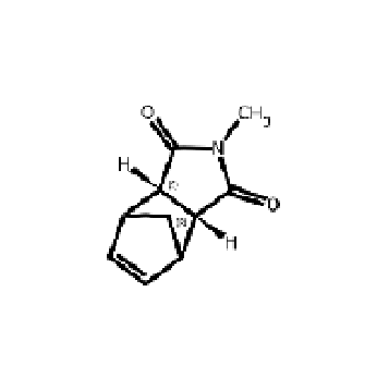 CN1C(=O)[C@@H]2C3C=CC(C3)[C@@H]2C1=O